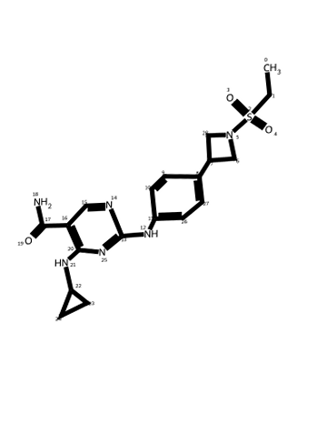 CCS(=O)(=O)N1CC(c2ccc(Nc3ncc(C(N)=O)c(NC4CC4)n3)cc2)C1